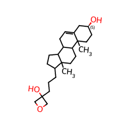 CC12CC[C@H](O)CC1=CCC1C2CCC2(C)C(CCCC3(O)COC3)CCC12